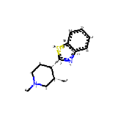 C[C@@H]1CN(C)CC[C@@H]1c1nc2ccccc2s1